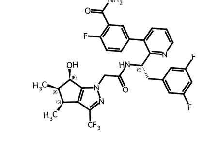 C[C@@H]1[C@H](C)c2c(C(F)(F)F)nn(CC(=O)N[C@@H](Cc3cc(F)cc(F)c3)c3ncccc3-c3ccc(F)c(C(N)=O)c3)c2[C@@H]1O